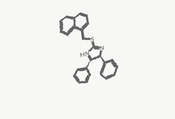 c1ccc([C@H]2NC(SCc3cccc4ccccc34)=N[C@H]2c2ccccc2)cc1